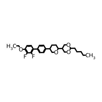 CCCCCC1OCC(C2CCC(c3ccc(-c4ccc(OCC)c(F)c4F)cc3)CO2)CO1